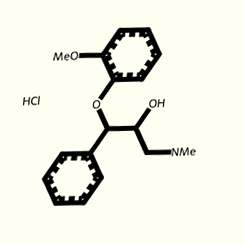 CNCC(O)C(Oc1ccccc1OC)c1ccccc1.Cl